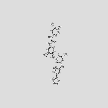 Cc1cc(Nc2cc(-c3ccc[nH]3)n[nH]2)nc(Nc2ccc(NC(=O)Nc3ccc(Cl)c(C(F)(F)F)c3)cc2C)n1